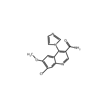 COc1cc2c(-n3ccnc3)c(C(N)=O)cnc2cc1Cl